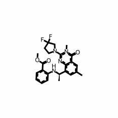 COC(=O)c1ccccc1N[C@H](C)c1cc(C)cc2c(=O)n(C)c(N3CCC(F)(F)C3)nc12